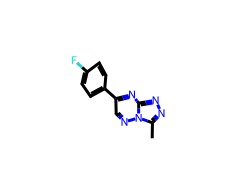 Cc1nnc2nc(-c3ccc(F)cc3)cnn12